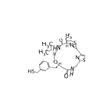 CC(C)[C@H]1CO[C@H](Cc2cccc(CS)c2)CC(=O)NCc2nc(cs2)C2=N[C@@](C)(CS2)C(=O)N1